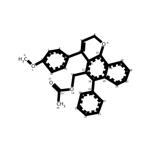 COc1ccc(C2=CCOc3c2c(COC(C)=O)c(-c2ccccc2)c2ccccc32)cc1